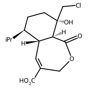 CC(C)[C@H]1CC[C@@](O)(CCl)[C@H]2C(=O)OCC(C(=O)O)=C[C@H]12